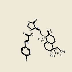 C=C1CCC2[C@](C)(CO)[C@H](O)CC[C@@]2(C)[C@@H]1C/C=C1/C(=O)OC[C@H]1OC(=O)/C=C/c1ccc(F)cc1